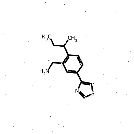 CCC(C)c1ccc(-c2cs[c]n2)cc1CN